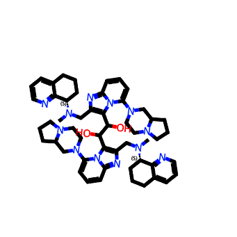 CN(Cc1nc2cccc(N3CCN4CCCC4C3)n2c1C(O)C(O)c1c(CN(C)[C@H]2CCCc3cccnc32)nc2cccc(N3CCN4CCCC4C3)n12)[C@H]1CCCc2cccnc21